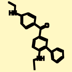 CCNc1ccc(C(=O)c2ccc(NCC)c(-c3ccccc3)c2)cc1